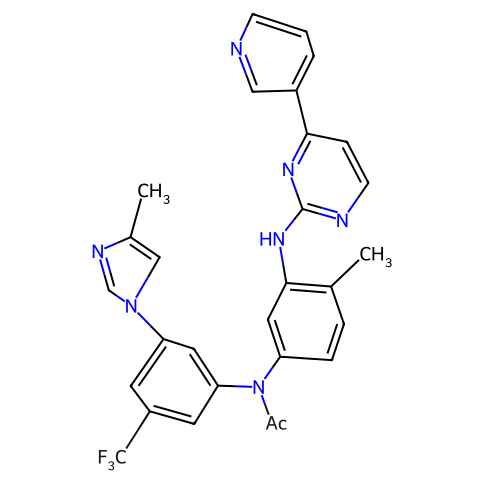 CC(=O)N(c1cc(-n2cnc(C)c2)cc(C(F)(F)F)c1)c1ccc(C)c(Nc2nccc(-c3cccnc3)n2)c1